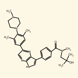 Cc1cc(-c2cnc3[nH]cc(-c4ccc(C(=O)N(C)CC(C)(C)O)cc4)c3n2)cc(C)c1N1CCN(C)CC1